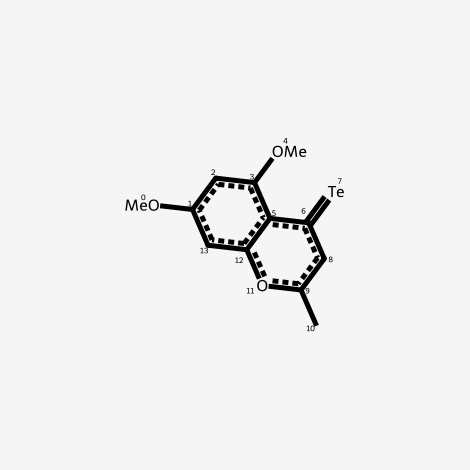 COc1cc(OC)c2c(=[Te])cc(C)oc2c1